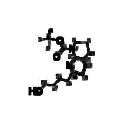 CC(C)(C)OC(=O)N1CCCc2ccc(CCCCO)nc21